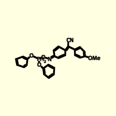 COc1ccc(C(C#N)=C2C=CC(=NO[PH2](Oc3ccccc3)Oc3ccccc3)C=C2)cc1